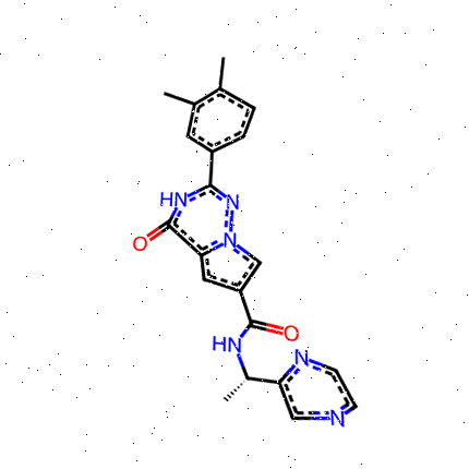 Cc1ccc(-c2nn3cc(C(=O)N[C@@H](C)c4cnccn4)cc3c(=O)[nH]2)cc1C